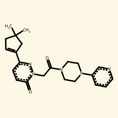 CC1(C)CC=C(c2ccc(=O)n(CC(=O)N3CCN(c4cccnc4)CC3)n2)C1